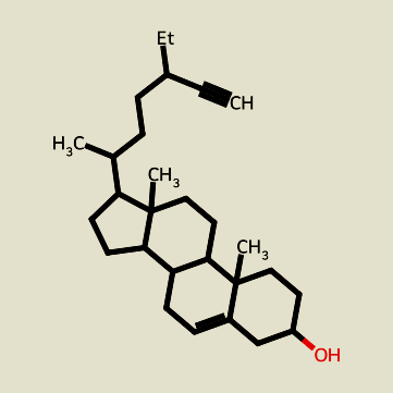 C#CC(CC)CCC(C)C1CCC2C3CC=C4CC(O)CCC4(C)C3CCC12C